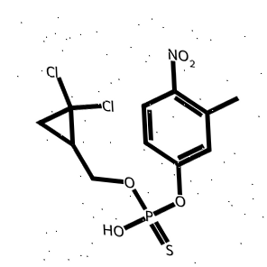 Cc1cc(OP(O)(=S)OCC2CC2(Cl)Cl)ccc1[N+](=O)[O-]